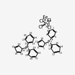 C1=CC(P(c2ccccc2)c2ccccc2)C=C1.C1=CC(P(c2ccccc2)c2ccccc2)C=C1.[Cl][Pd]([Cl])([Cl])[Cl].[Fe]